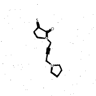 O=C1C(=S)CCN1CC#CCN1CCCC1